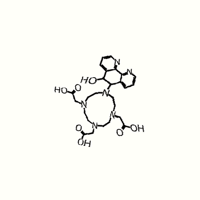 O=C(O)CN1CCN(CC(=O)O)CCN(C2c3cccnc3-c3ncccc3C2O)CCN(CC(=O)O)CC1